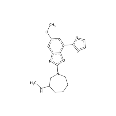 CNC1CCCCN(c2nc3cc(OC)cc(-c4nccs4)c3o2)C1